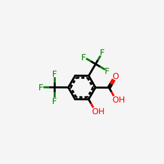 O=C(O)c1c(O)cc(C(F)(F)F)cc1C(F)(F)F